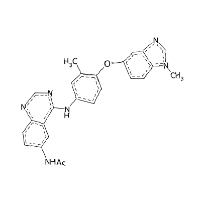 CC(=O)Nc1ccc2ncnc(Nc3ccc(Oc4ccc5c(c4)ncn5C)c(C)c3)c2c1